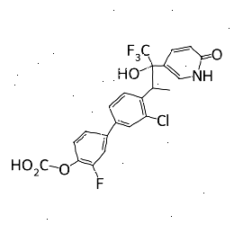 CC(c1ccc(-c2ccc(OC(=O)O)c(F)c2)cc1Cl)C(O)(c1ccc(=O)[nH]c1)C(F)(F)F